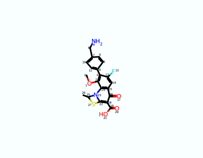 COc1c(-c2ccc(CN)cc2)c(F)cc2c(=O)c(C(=O)O)c3n(c12)C(C)S3